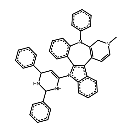 CN1C=CC2=C(C1)N(c1ccccc1)c1ccccc1-c1c2c2ccccc2n1C1=CC(c2ccccc2)NC(c2ccccc2)N1